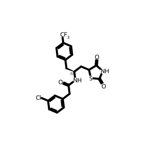 O=C(Cc1cccc(Cl)c1)N[C@@H](Cc1ccc(C(F)(F)F)cc1)CC1SC(=O)NC1=O